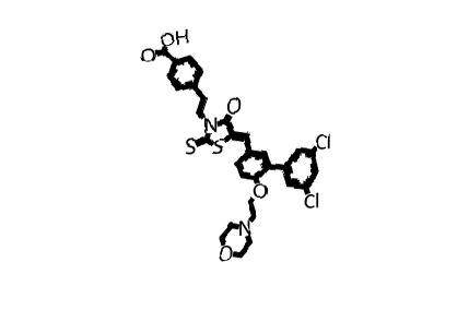 O=C(O)c1ccc(CCN2C(=O)C(=Cc3ccc(OCCN4CCOCC4)c(-c4cc(Cl)cc(Cl)c4)c3)SC2=S)cc1